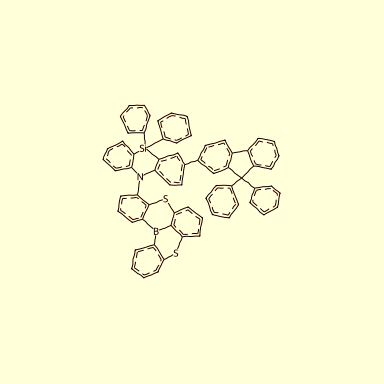 c1ccc(C2(c3ccccc3)c3ccccc3-c3ccc(-c4ccc5c(c4)[Si](c4ccccc4)(c4ccccc4)c4ccccc4N5c4cccc5c4Sc4cccc6c4B5c4ccccc4S6)cc32)cc1